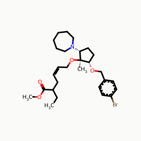 CCC(C/C=C\CO[C@]1(C)[C@@H](OCc2ccc(Br)cc2)CC[C@H]1N1CCCCCC1)C(=O)OC